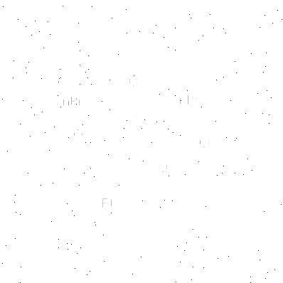 CCCOC1=C(CC)OC(C)(CCC)C1=O